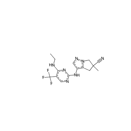 CCNc1nc(Nc2cnn3c2CC(C)(C#N)C3)ncc1C(F)(F)F